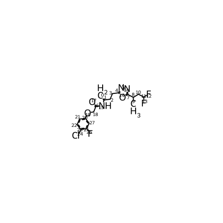 C=C(CCc1nnc(C(C)CC(F)F)o1)NC(=O)COc1ccc(Cl)c(F)c1